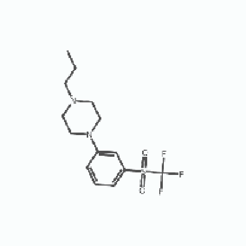 CCCN1CCN(c2cccc(S(=O)(=O)C(F)(F)F)c2)CC1